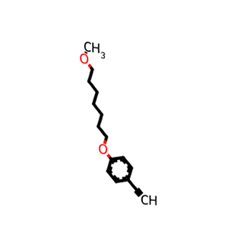 C#Cc1ccc(OCCCCCCCOC)cc1